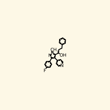 Cn1nc(-c2ccc(F)cc2)c(-c2ccncc2)c1C(O)CCc1ccccc1